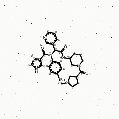 CN1CCC(C(=O)N2CCCC(NC(=O)C(c3cccnc3)N(C(=O)c3c[nH]cn3)c3ccc(C(C)(C)C)cc3)C2)C1